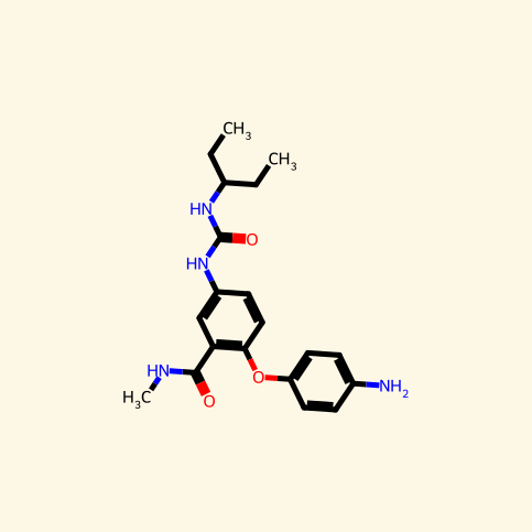 CCC(CC)NC(=O)Nc1ccc(Oc2ccc(N)cc2)c(C(=O)NC)c1